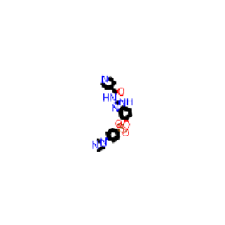 O=C(Nc1nc2cc(OS(=O)(=O)c3ccc(-n4ccnc4)cc3)ccc2[nH]1)c1ccncc1